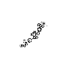 CC(C)(C)OC(=O)N1CCC(c2coc3c(Oc4ccc(S(C)(=O)=O)cc4)ncnc23)CC1